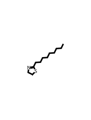 CCCCCCCCCC1=NC[CH]S1